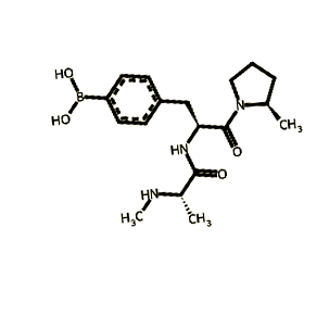 CN[C@@H](C)C(=O)N[C@@H](Cc1ccc(B(O)O)cc1)C(=O)N1CCC[C@H]1C